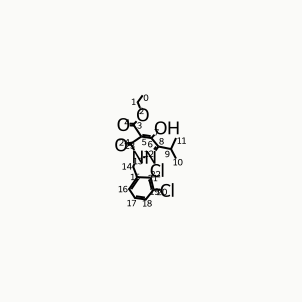 CCOC(=O)c1c(O)c(C(C)C)nn(Cc2cccc(Cl)c2Cl)c1=O